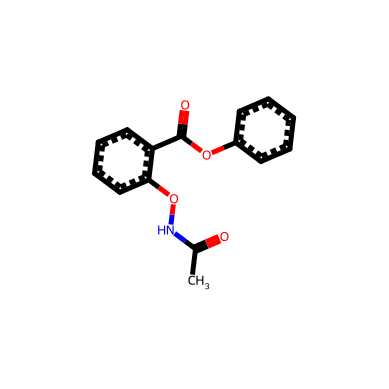 CC(=O)NOc1ccccc1C(=O)Oc1ccccc1